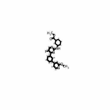 COC(=O)C1CCCC(Nc2ncc(F)c(-c3cccc(-c4ccnc(OC)c4)c3)n2)C1